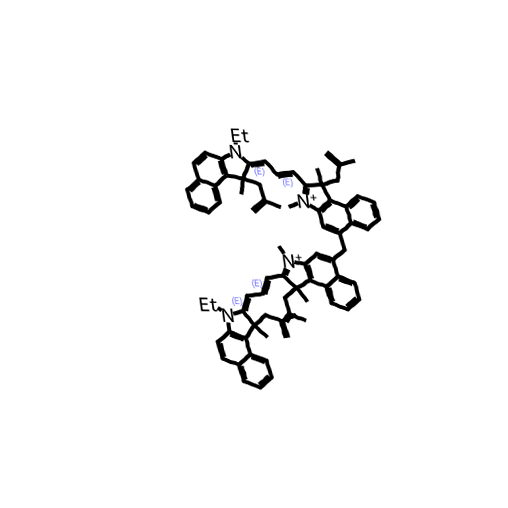 C=C(C)CC1(C)C(/C=C/C=C2/N(CC)c3ccc4ccccc4c3C2(C)CC(=C)C)=[N+](C)c2cc(Cc3cc4c(c5ccccc35)C(C)(CC(=C)C)C(/C=C/C=C3/N(CC)c5ccc6ccccc6c5C3(C)CC(=C)C)=[N+]4C)c3ccccc3c21